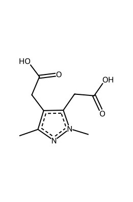 Cc1nn(C)c(CC(=O)O)c1CC(=O)O